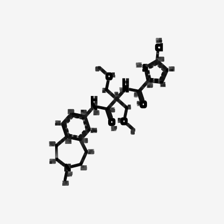 COCC(COC)(NC(=O)c1ccc(Cl)s1)C(=O)Nc1ccc2c(c1)CCN(C)CC2